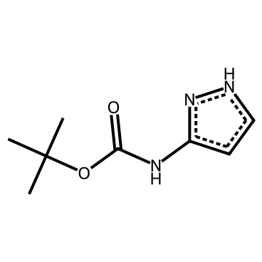 CC(C)(C)OC(=O)Nc1cc[nH]n1